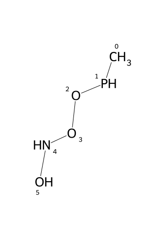 CPOONO